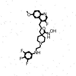 COc1ccc2ncc(F)c(CCCC3(C(=O)NO)CCN(CCNc4cc(F)c(F)c(F)c4)CC3)c2c1